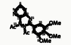 COc1cc(C2=Nc3cccnc3N(C(C)=O)N2C(C)=O)cc(OC)c1OC